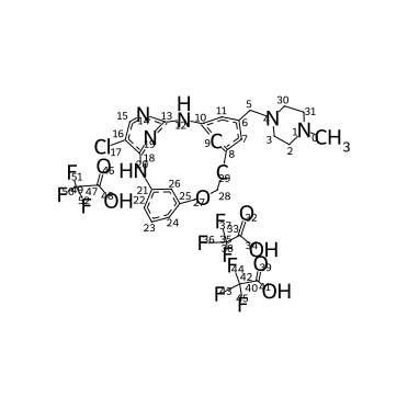 CN1CCN(Cc2cc3cc(c2)Nc2ncc(Cl)c(n2)Nc2cccc(c2)OCC3)CC1.O=C(O)C(F)(F)F.O=C(O)C(F)(F)F.O=C(O)C(F)(F)F